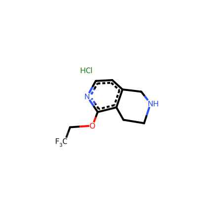 Cl.FC(F)(F)COc1nccc2c1CCNC2